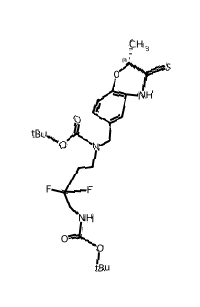 C[C@H]1Oc2ccc(CN(CCC(F)(F)CNC(=O)OC(C)(C)C)C(=O)OC(C)(C)C)cc2NC1=S